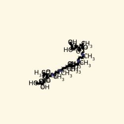 C/C(=C\Cn1c(=O)c(C)cn([C@H]2C[C@@H](O)C(CO)O2)c1=O)CC/C=C(\C)CCCC(C)(C)C(C)(C)CCC/C(C)=C/CC/C(C)=C/Cn1c(=O)c(C)cn([C@H]2C[C@@H](O)C(CO)O2)c1=O